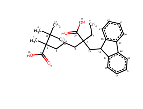 CCC(CCCC(C)(C(=O)O)C(C)(C)C)(CC1c2ccccc2-c2ccccc21)C(=O)O